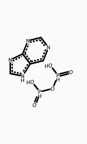 O=[PH](O)O[PH](=O)O.c1ncc2[nH]cnc2n1